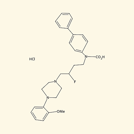 COc1ccccc1N1CCN(CC(F)CCN(C(=O)O)c2ccc(-c3ccccc3)cc2)CC1.Cl